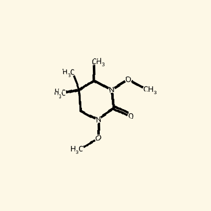 CON1CC(C)(C)C(C)N(OC)C1=O